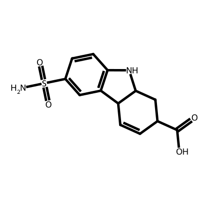 NS(=O)(=O)c1ccc2c(c1)C1C=CC(C(=O)O)CC1N2